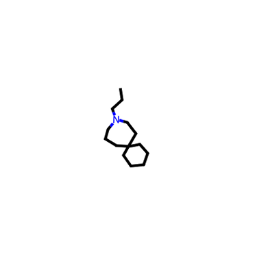 CCCN1CCCC2(CCCCC2)CC1